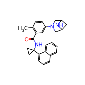 Cc1ccc(N2CC3CC(C2)N3)cc1C(=O)NC1(c2cccc3ccccc23)CC1